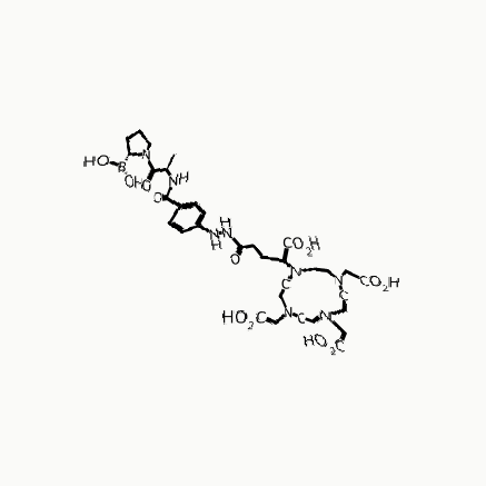 C[C@@H](NC(=O)c1ccc(NNC(=O)CCC(C(=O)O)N2CCN(CC(=O)O)CCN(CC(=O)O)CCN(CC(=O)O)CC2)cc1)C(=O)N1CCC[C@H]1B(O)O